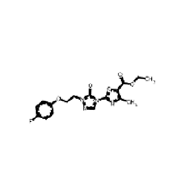 CCOC(=O)c1sc(-n2cnn(CCOc3ccc(F)cc3)c2=O)nc1C